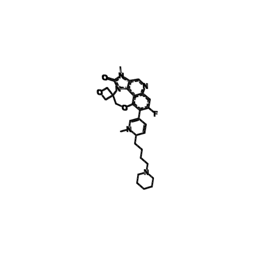 CN1C=C(c2c(F)cc3ncc4c5c3c2OCC2(COC2)n5c(=O)n4C)C=CC1CCCCN1CCCCC1